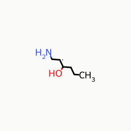 CCCC(O)[CH]CN